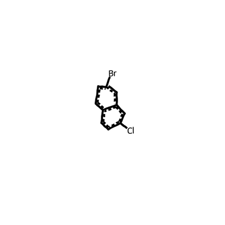 Clc1ccc2ccc(Br)cc2c1